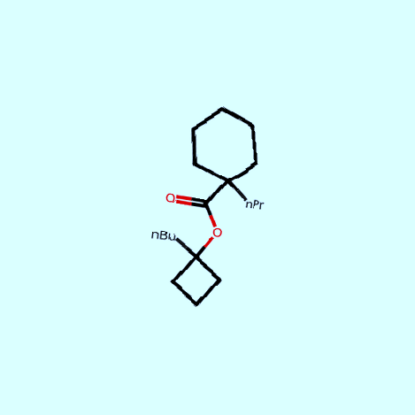 CCCCC1(OC(=O)C2(CCC)CCCCC2)CCC1